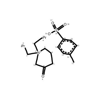 CC(C)C[N+]1(CC(C)C)CCCC(=O)C1.Cc1ccc(S(=O)(=O)[O-])cc1